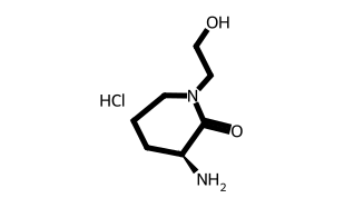 Cl.N[C@H]1CCCN(CCO)C1=O